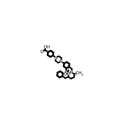 C[C@H]1CCC(Cc2ccccc2)S(=O)(=O)N1Cc1ccc(N2CCN(c3ccc(C(=O)O)cc3)CC2)cc1F